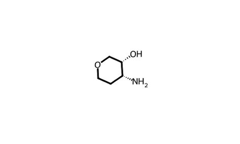 N[C@@H]1CCOC[C@@H]1O